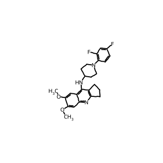 COc1cc2nc3c(c(NC4CCN(c5ccc(F)cc5F)CC4)c2cc1OC)CCC3